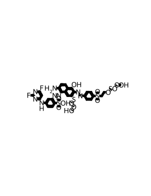 Nc1ccc2c(O)c(/N=N/c3ccc(S(=O)(=O)CCOSOOO)cc3)c(SOOO)cc2c1/N=N/c1cc(Nc2cc(F)nc(F)n2)ccc1S(=O)(=O)O